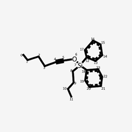 CCCCC#CO[Si](CCCC)(c1ccccc1)c1ccccc1